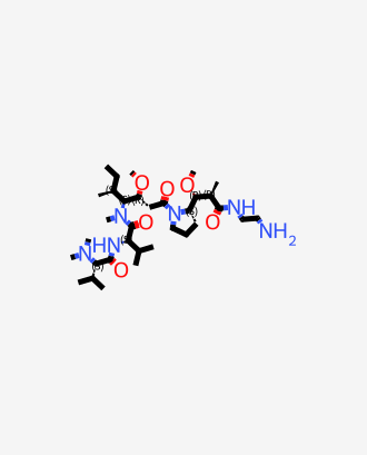 CC[C@H](C)[C@@H]([C@@H](CC(=O)N1CCC[C@H]1[C@H](OC)[C@@H](C)C(=O)NCCN)OC)N(C)C(=O)[C@@H](NC(=O)[C@H](C(C)C)N(C)C)C(C)C